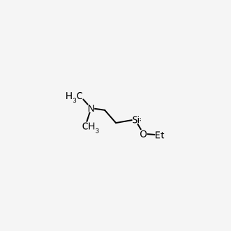 CCO[Si]CCN(C)C